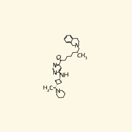 C=C([C@H]1C[C@@H](Nc2cc(C(=O)CCCC[C@H](C)CN3CCc4ccccc4C3)ncn2)C1)N1CCCCC1